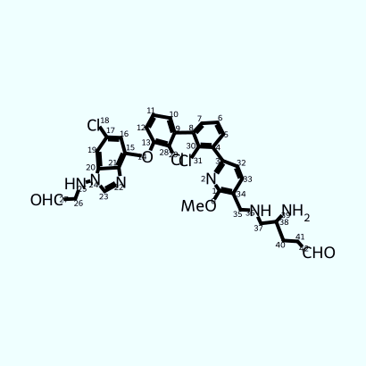 COc1nc(-c2cccc(-c3cccc(Oc4cc(Cl)cc5c4ncn5NCC=O)c3Cl)c2Cl)ccc1CNCC(N)CCC=O